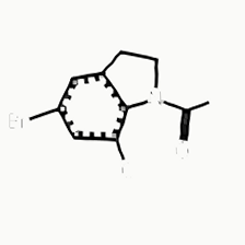 CC(=O)N1CCc2cc(Br)cc(Cl)c21